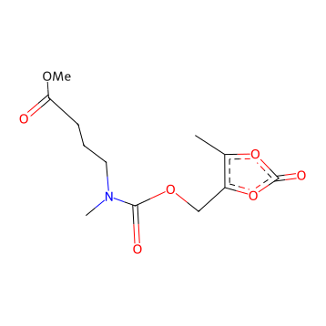 COC(=O)CCCN(C)C(=O)OCc1oc(=O)oc1C